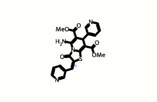 COC(=O)C1=C(N)n2c(s/c(=C/c3cccnc3)c2=O)=C(C(=O)OC)C1c1cccnc1